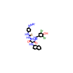 [N-]=[N+]=Nc1ccc(NC(=S)NNC(=O)C(Nc2ccc3ccccc3c2)C(=O)N/N=C/c2cc(Br)c(O)c(Br)c2)cc1